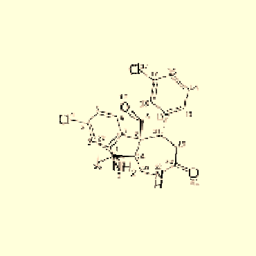 Nc1cc(Cl)ccc1[C@]1(C=O)[C@H](c2cccc(Cl)c2)CC(=O)NC[C@H]1C1CC1